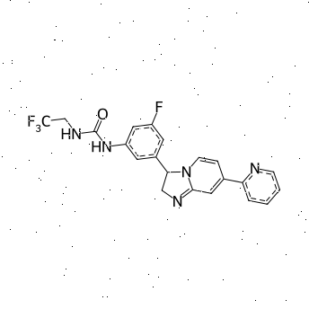 O=C(NCC(F)(F)F)Nc1cc(F)cc(C2CN=C3C=C(c4ccccn4)C=CN32)c1